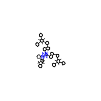 Cc1c(-c2ccccc2)c(C)c(-c2cccc(-c3cccc4c(-c5nc(-c6cccc7c(-c8cccc(-c9c(C)c(-c%10ccccc%10)c(C)c(-c%10ccccc%10)c9C)c8)cccc67)nc(N6C7=CC=CCC7c7c6ccc6c7C(C)(C)c7ccccc7-6)n5)cccc34)c2)c(C)c1-c1ccccc1